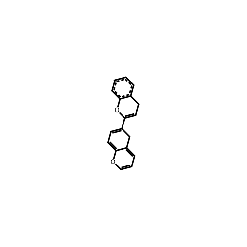 [c]1ccc2c(c1)OC(C1=CC=C3OC=CC=C3C1)=CC2